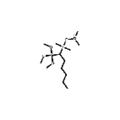 CCCCCC([Si](C)(C)O[SiH](C)C)[Si](OC)(OC)OC